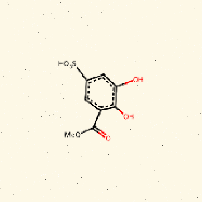 COC(=O)c1cc(S(=O)(=O)O)cc(O)c1O